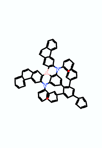 c1ccc(-c2cc(-c3ccccc3)c(-c3cc4c5c(c3)N(c3ccccc3)c3cc6c(ccc7ccccc76)cc3B5c3cc5ccc6ccccc6c5cc3N4c3ccccc3)c(-c3ccccc3)c2)cc1